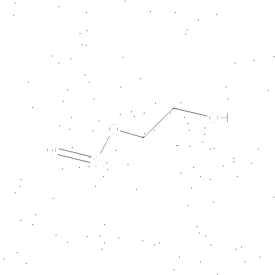 [O]=[Sb][O]CCO